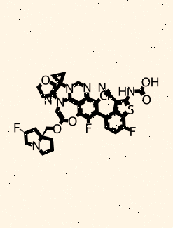 N#Cc1c(NC(=O)O)sc2c(F)ccc(-c3c(F)c4c5c(c3Cl)=NCN(C3(C#N)CC3)C=5N(C3CCOC3)C=C(OC[C@@]35CCCN3C[C@H](F)C5)O4)c12